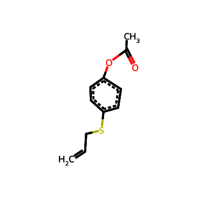 C=CCSc1ccc(OC(C)=O)cc1